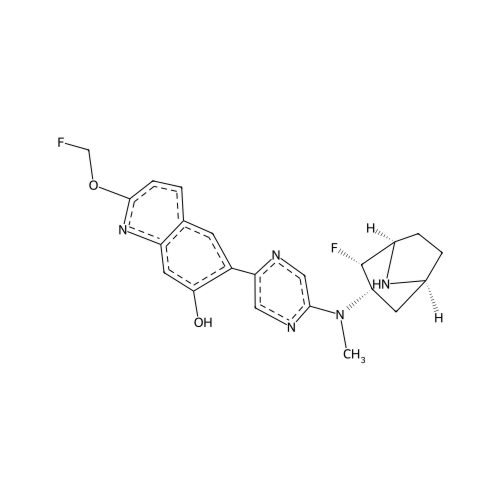 CN(c1cnc(-c2cc3ccc(OCF)nc3cc2O)cn1)[C@H]1C[C@@H]2CC[C@@H](N2)[C@H]1F